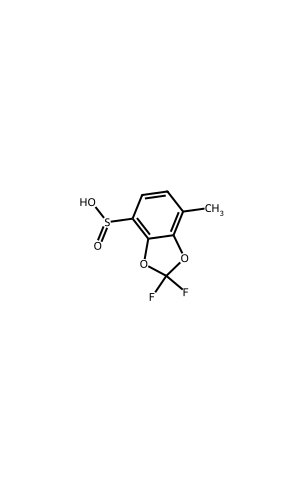 Cc1ccc(S(=O)O)c2c1OC(F)(F)O2